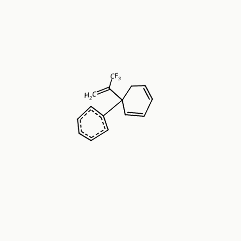 C=C(C(F)(F)F)C1(c2ccccc2)C=CC=CC1